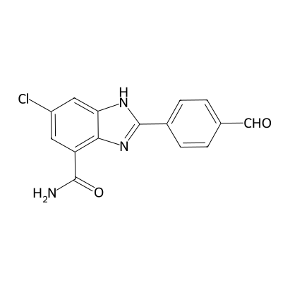 NC(=O)c1cc(Cl)cc2[nH]c(-c3ccc(C=O)cc3)nc12